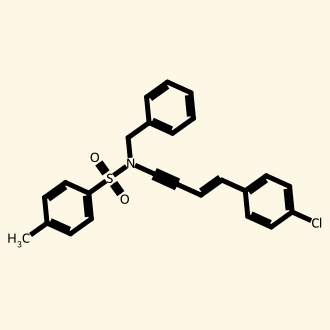 Cc1ccc(S(=O)(=O)N(C#CC=Cc2ccc(Cl)cc2)Cc2ccccc2)cc1